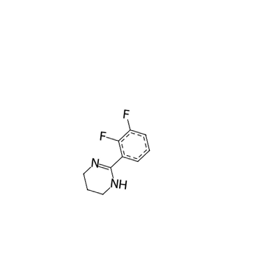 Fc1cccc(C2=NCCCN2)c1F